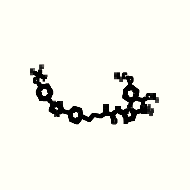 COc1ccc(-n2c(C)cs/c2=N\C(=O)NCCCc2ccc(-c3ncn(-c4ccc(OC(F)(F)F)cc4)n3)cc2)c(C(C)C)c1